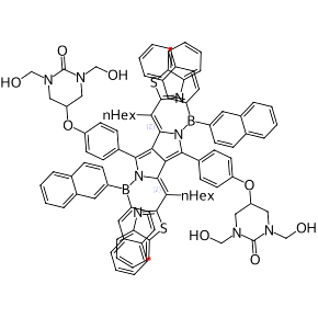 CCCCCC/C(c1nc2ccccc2s1)=c1\c2c(-c3ccc(OC4CN(CO)C(=O)N(CO)C4)cc3)n(B(c3ccc4ccccc4c3)c3ccc4ccccc4c3)/c(=C(/CCCCCC)c3nc4ccccc4s3)c2c(-c2ccc(OC3CN(CO)C(=O)N(CO)C3)cc2)n1B(c1ccc2ccccc2c1)c1ccc2ccccc2c1